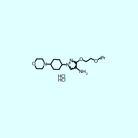 CC(C)OCCOc1nn(C2CCC(N3CCOCC3)CC2)cc1N.Cl.Cl